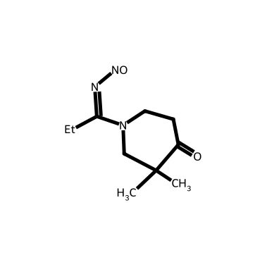 CC/C(=N/N=O)N1CCC(=O)C(C)(C)C1